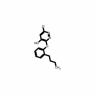 CCCCc1ccccc1Oc1nnc(Cl)cc1O